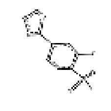 CS(=O)(=O)c1ccc(-c2nccs2)cc1F